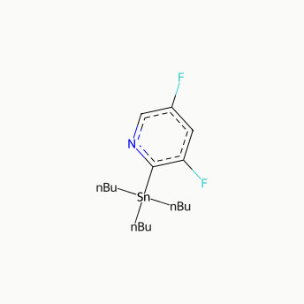 CCC[CH2][Sn]([CH2]CCC)([CH2]CCC)[c]1ncc(F)cc1F